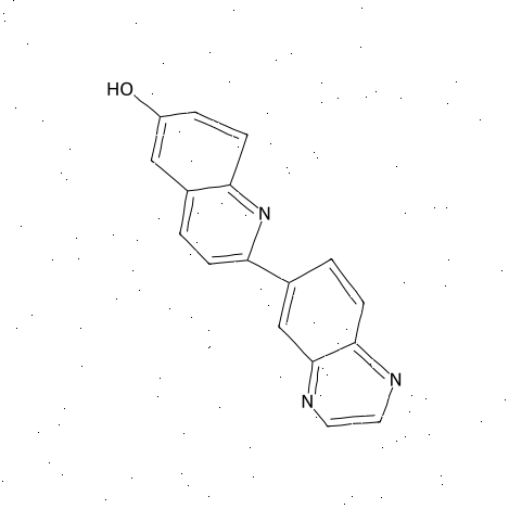 Oc1ccc2nc(-c3ccc4nccnc4c3)ccc2c1